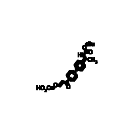 C[C@H](NC(=O)OC(C)(C)C)c1ccc(N2CCN(C(=O)CCOCC(=O)O)CC2)cc1